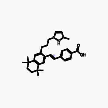 CC1C=CN(CCCc2cc3c(cc2/C=C/c2ccc(C(=O)O)cc2)C(C)(C)CCC3(C)C)N1